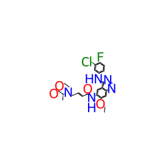 CCOc1cc2ncnc(Nc3ccc(F)c(Cl)c3)c2cc1NC(=O)/C=C/CN1CCOC(=O)[C@@H]1C